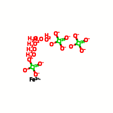 O.O.O.O.O.O.[Fe+3].[O-][Cl+3]([O-])([O-])[O-].[O-][Cl+3]([O-])([O-])[O-].[O-][Cl+3]([O-])([O-])[O-]